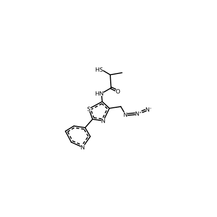 CC(S)C(=O)Nc1sc(-c2cccnc2)nc1CN=[N+]=[N-]